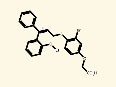 CCOc1ccccc1/C(=C\CSc1ccc(OCC(=O)O)cc1Br)c1ccccc1